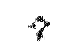 CS(=O)(=O)Nc1ccc(CCNc2nc(C#CC3CCN(c4ccc5c(c4)C(=O)N(C4CCC(=O)NC4=O)C5=O)CC3)nc3ccccc23)cc1.O=C(O)C(F)(F)F